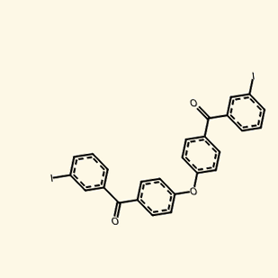 O=C(c1ccc(Oc2ccc(C(=O)c3cccc(I)c3)cc2)cc1)c1cccc(I)c1